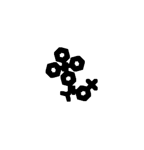 CC(C)N(c1ccc(S(c2ccccc2)(c2ccccc2)c2ccccc2)cc1)c1cccc(C(C)(C)C)c1